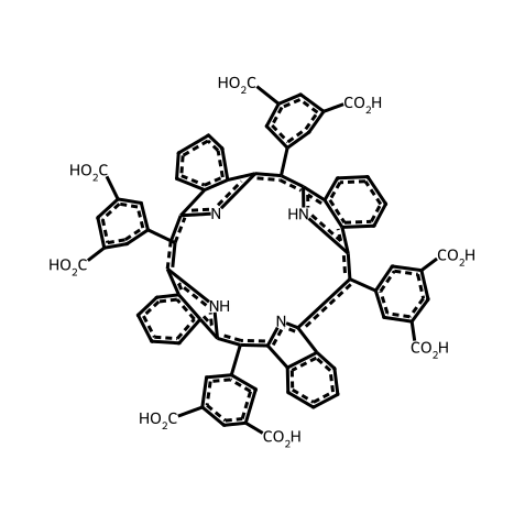 O=C(O)c1cc(C(=O)O)cc(-c2c3nc(c(-c4cc(C(=O)O)cc(C(=O)O)c4)c4[nH]c(c(-c5cc(C(=O)O)cc(C(=O)O)c5)c5nc(c(-c6cc(C(=O)O)cc(C(=O)O)c6)c6[nH]c2c2ccccc62)-c2ccccc2-5)c2ccccc42)-c2ccccc2-3)c1